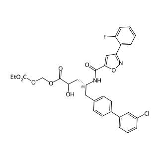 CCOC(=O)OCOC(=O)C(O)C[C@@H](Cc1ccc(-c2cccc(Cl)c2)cc1)NC(=O)c1cc(-c2ccccc2F)no1